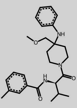 COCC1(Nc2ccccc2)CCN(C(=O)[C@H](NC(=O)c2cccc(C)c2)C(C)C)CC1